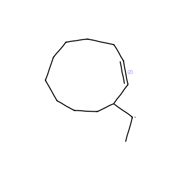 C[CH]C1/C=C\CCCCCCCC1